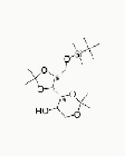 CC1(C)OCC(O)[C@H](C2OC(C)(C)O[C@@H]2CO[Si](C)(C)C(C)(C)C)O1